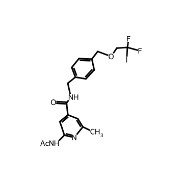 CC(=O)Nc1cc(C(=O)NCc2ccc(COCC(F)(F)I)cc2)cc(C)n1